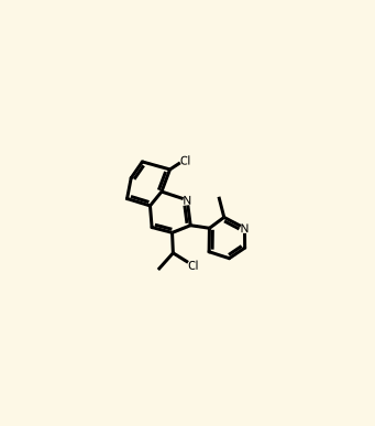 Cc1ncccc1-c1nc2c(Cl)cccc2cc1C(C)Cl